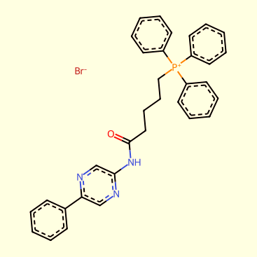 O=C(CCCC[P+](c1ccccc1)(c1ccccc1)c1ccccc1)Nc1cnc(-c2ccccc2)cn1.[Br-]